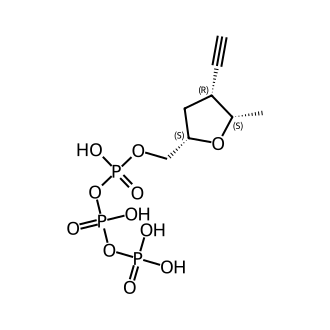 C#C[C@H]1C[C@@H](COP(=O)(O)OP(=O)(O)OP(=O)(O)O)O[C@H]1C